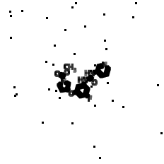 COC(=O)N1CCC(Oc2cc(F)cc(NC(=O)Nc3cccnc3)c2)C1